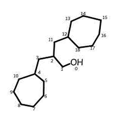 OCC(CC1CCCCCC1)CC1CCCCCC1